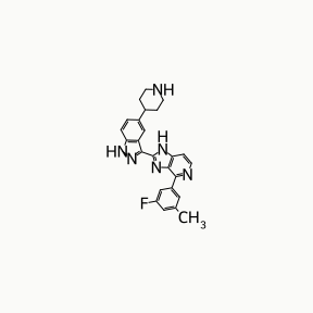 Cc1cc(F)cc(-c2nccc3[nH]c(-c4n[nH]c5ccc(C6CCNCC6)cc45)nc23)c1